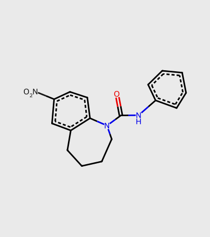 O=C(Nc1ccccc1)N1CCCCc2cc([N+](=O)[O-])ccc21